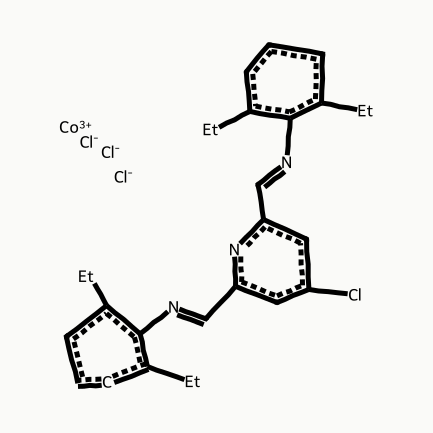 CCc1cccc(CC)c1N=Cc1cc(Cl)cc(C=Nc2c(CC)cccc2CC)n1.[Cl-].[Cl-].[Cl-].[Co+3]